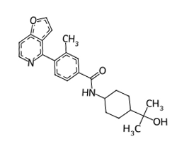 Cc1cc(C(=O)NC2CCC(C(C)(C)O)CC2)ccc1-c1nccc2occc12